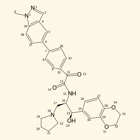 Cn1ncc2cc(-c3ccc(C(=O)C(=O)N[C@H](CN4CCCC4)[C@H](O)c4ccc5c(c4)OCCO5)cc3)ccc21